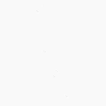 CC[C@@H](C)C(=O)N(C)CCOc1ccc(C(=O)Nc2ccc(/N=N/c3ccc(N(C)C)cc3)cc2)cc1